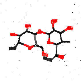 COC(=O)C1OC(OC2C(CO)OC(OC)C(O)C2O)C(O)C(O)C1C